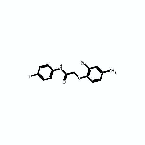 Cc1ccc(OCC(=O)Nc2ccc(F)cc2)c(Br)c1